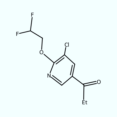 CCC(=O)c1cnc(OCC(F)F)c(Cl)c1